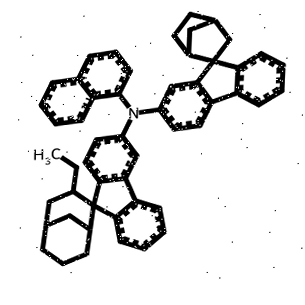 CCC1CC2CCCC(C2)C12c1ccccc1-c1cc(N(c3ccc4c(c3)C3(CC5CCC3C5)c3ccccc3-4)c3cccc4ccccc34)ccc12